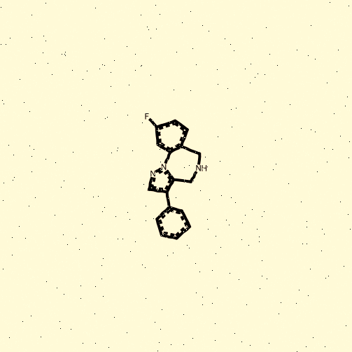 Fc1ccc2c(c1)-n1ncc(-c3ccccc3)c1CNC2